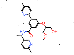 COCC(CO)Oc1cc(C(=O)N[C@H](C)c2ccc(C)nc2)cc(-c2ccc(C)cn2)c1